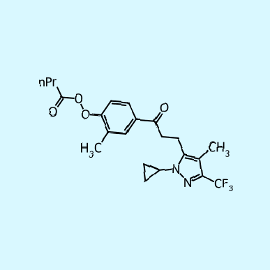 CCCC(=O)OOc1ccc(C(=O)CCc2c(C)c(C(F)(F)F)nn2C2CC2)cc1C